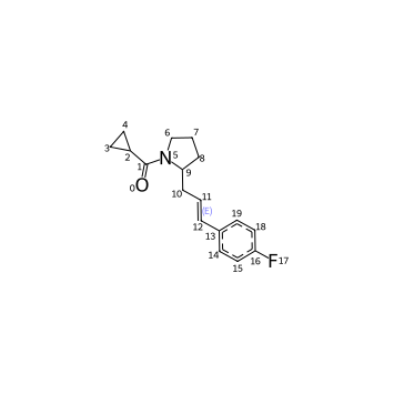 O=C(C1CC1)N1CCCC1C/C=C/c1ccc(F)cc1